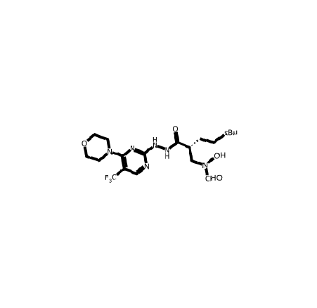 CC(C)(C)CC[C@H](CN(O)C=O)C(=O)NNc1ncc(C(F)(F)F)c(N2CCOCC2)n1